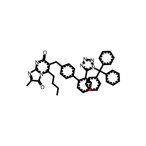 CCCCc1c(Cc2ccc(-c3ccccc3-c3nnnn3C(c3ccccc3)(c3ccccc3)c3ccccc3)cc2)c(=O)nc2n1C(=O)C(C)=N2